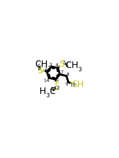 CSc1cc(SC)c(CCS)c(SC)c1